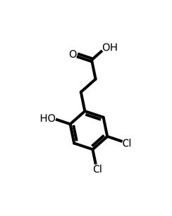 O=C(O)CCc1cc(Cl)c(Cl)cc1O